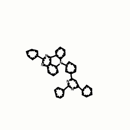 c1ccc(-c2cc(-c3cccc(N4c5ccccc5-c5nc(-c6ccccc6)nc6cccc4c56)c3)nc(-c3ccccc3)n2)cc1